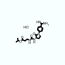 CC(C)OC(=O)CCNC(=O)N[C@H]1CCN(c2ccc(C(=N)N)cc2)C1=O.Cl